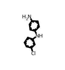 Nc1ccc(Nc2cccc(Cl)c2)cc1